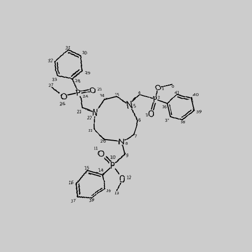 COP(=O)(CN1CCN(CP(=O)(OC)c2ccccc2)CCN(CP(=O)(OC)c2ccccc2)CC1)c1ccccc1